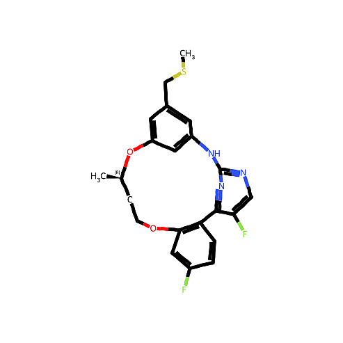 CSCc1cc2cc(c1)O[C@H](C)CCOc1cc(F)ccc1-c1nc(ncc1F)N2